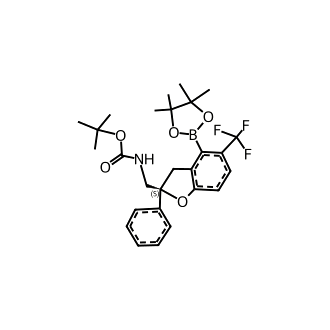 CC(C)(C)OC(=O)NC[C@@]1(c2ccccc2)Cc2c(ccc(C(F)(F)F)c2B2OC(C)(C)C(C)(C)O2)O1